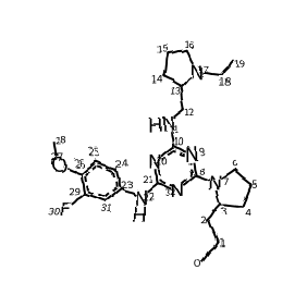 CCCC1CCCN1c1nc(NCC2CCCN2CC)nc(Nc2ccc(OC)c(F)c2)n1